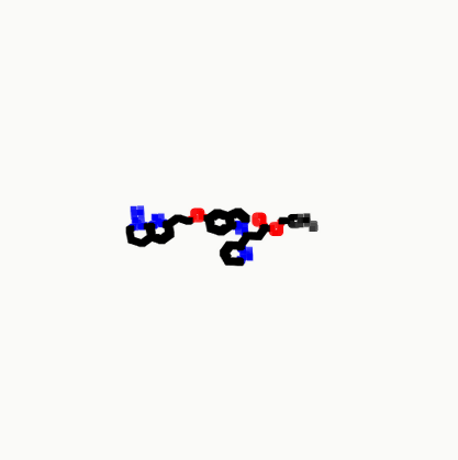 CCOC(=O)/C=C(/c1ccccn1)n1ccc2cc(OCCc3ccc4c(n3)NCCC4)ccc21